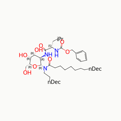 CCCCCCCCCCCCCCCCCC(=O)N(CCCCCCCCCCCC)[C@@H]1O[C@H](CO)[C@H](O)[C@H](O)[C@H]1NC(=O)[C@H](CC(C)C)NC(=O)OCc1ccccc1